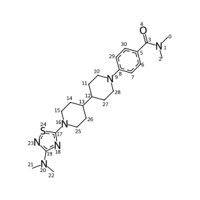 CN(C)C(=O)c1ccc(N2CCC(C3CCN(c4nc(N(C)C)ns4)CC3)CC2)cc1